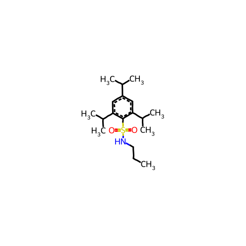 CCCNS(=O)(=O)c1c(C(C)C)cc(C(C)C)cc1C(C)C